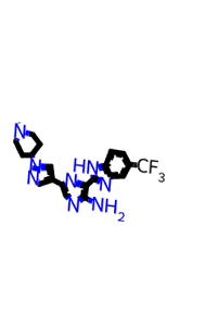 CN1CCC(n2cc(-c3cnc(N)c(-c4nc5cc(C(F)(F)F)ccc5[nH]4)n3)cn2)CC1